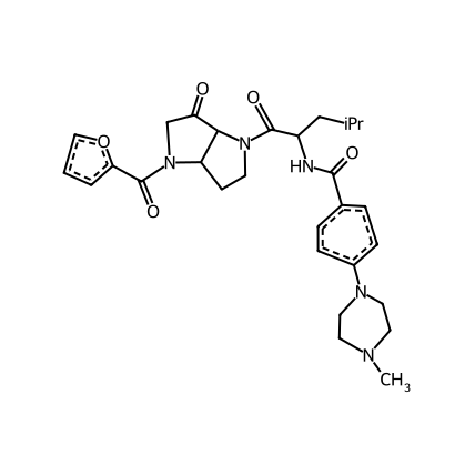 CC(C)CC(NC(=O)c1ccc(N2CCN(C)CC2)cc1)C(=O)N1CCC2C1C(=O)CN2C(=O)c1ccco1